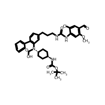 COc1cc(NC(=O)NCCCc2ccc(-c3ccccc3)c(N(C(=O)O)[C@H]3CC[C@H](NC(=O)OC(C)(C)C)CC3)c2)c(Cl)cc1C=O